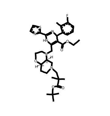 CCOC(=O)C1=C(CN2CCO[C@@H]3CCN(CC(C)(C)C(=O)OC(C)(C)C)C[C@@H]32)NC(c2nccs2)=NC1c1cccc(F)c1C